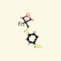 CCC1(CSc2ccc(S)cc2)COC1